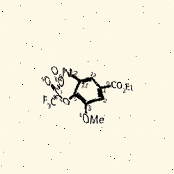 CCOC(=O)c1cc(OC)c(OS(=O)(=O)C(F)(F)F)c([N+](=O)[O-])c1